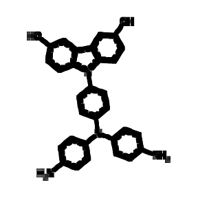 Nc1ccc(N(c2ccc(N)cc2)c2ccc(-n3c4ccc(O)cc4c4cc(O)ccc43)cc2)cc1